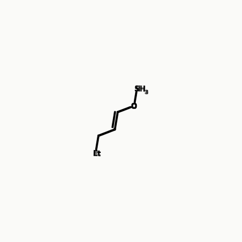 CCCC=CO[SiH3]